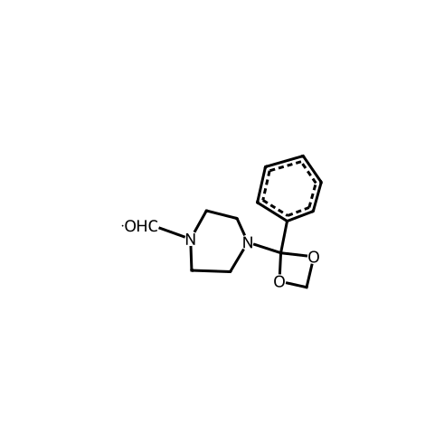 O=[C]N1CCN(C2(c3ccccc3)OCO2)CC1